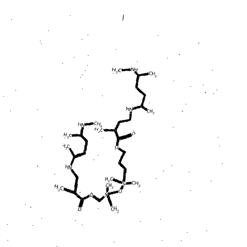 CNC(C)CCC(C)NCCC(C)C(=O)OCCC[Si](C)(C)O[Si](C)(C)COC(=O)C(C)CNC(C)CCC(C)NC